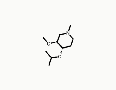 CO[C@H]1CN(C)CC[C@@H]1OC(C)C